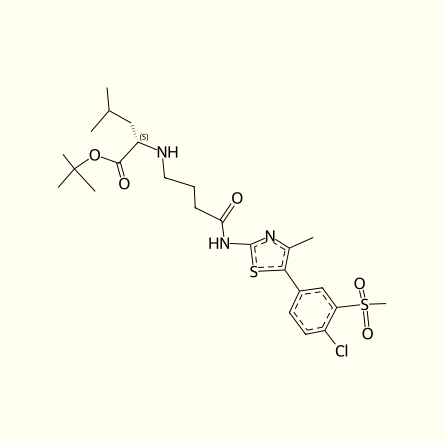 Cc1nc(NC(=O)CCCN[C@@H](CC(C)C)C(=O)OC(C)(C)C)sc1-c1ccc(Cl)c(S(C)(=O)=O)c1